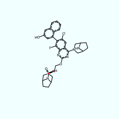 N=S1(=O)CC2CCC(C1)N2CCCOc1nc(N2CC3CCC(C2)N3)c2cc(Cl)c(-c3cc(O)cc4ccccc34)c(F)c2n1